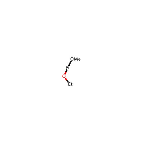 CC[O][Pr][O]C